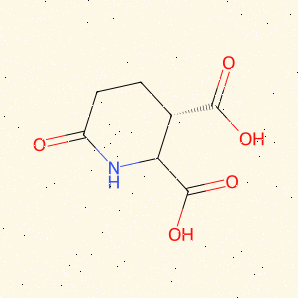 O=C1CC[C@H](C(=O)O)C(C(=O)O)N1